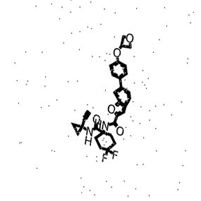 C#CC1(NC(=O)C2(NC(=O)c3cc4ccc(-c5ccc(OC6COC6)cc5)cc4o3)CCC(F)(F)CC2)CC1